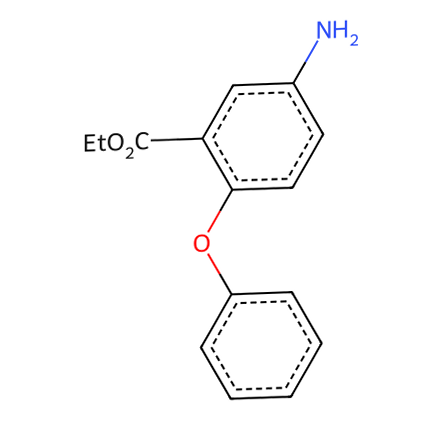 CCOC(=O)c1cc(N)ccc1Oc1ccccc1